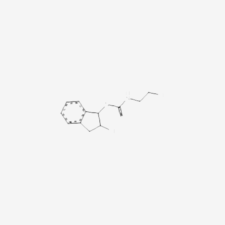 O=C(NCCCl)NC1c2ccccc2CC1Cl